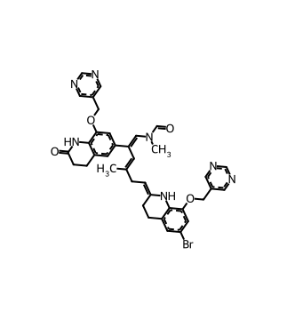 C/C(=C\C(=C/N(C)C=O)c1cc2c(c(OCc3cncnc3)c1)NC(=O)CC2)C/C=C1\CCc2cc(Br)cc(OCc3cncnc3)c2N1